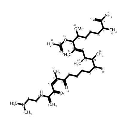 C=C(NCCN(C)C)C(=O)/C=C(/C)C(=O)CCCCC(CC)C(C)[C@@H](C)/C=C(\C)C(OC(N)=S)C(CCCC(C)C(N)=S)OC